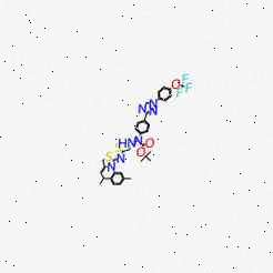 Cc1ccc2c(c1)N1C(=CC2C)CS/C1=N\C(=S)CNN(C(=O)OC(C)(C)C)c1ccc(-c2ncn(-c3ccc(OC(F)(F)F)cc3)n2)cc1